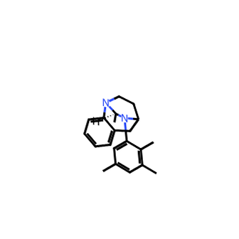 Cc1cc(C)c(C)c(N2C3CCN(c4ccccc4C3)[C@@H]2C)c1